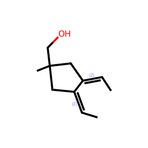 C/C=C1/CC(C)(CO)C/C1=C/C